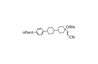 CCCCCc1ccc(C2CCC(C3CCC(C=CC#N)(OC)CC3)CC2)cc1